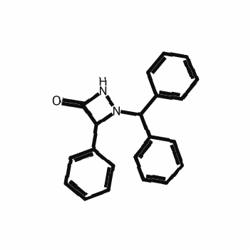 O=C1NN(C(c2ccccc2)c2ccccc2)C1c1ccccc1